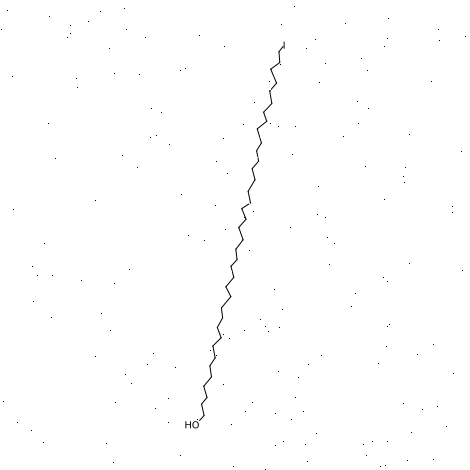 OCCCCCCCCCCCCCCCCCCCCCCCCCCCCCCCCCCCCCCI